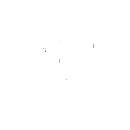 COC(=O)c1cc(C)nc(NC(C)c2ccc(C(C)C)cc2Br)n1